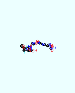 CC(C)[Si](C#Cc1c(F)ccc2cc(O[Si](C(C)C)(C(C)C)C(C)C)cc(-c3ncc4c(N5CCC[C@@](C)(O)C5)nc(OC[C@@]56CCCN5[C@H](COC(=O)N5CCC7(CC5)CC(N5CCC(c8ccc9c(c8)n(C)c(=O)n9C8CCC(=O)NC8=O)CC5)C7)CC6)nc4c3F)c12)(C(C)C)C(C)C